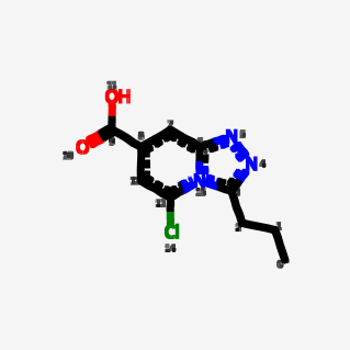 CCCc1nnc2cc(C(=O)O)cc(Cl)n12